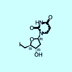 O=c1ccn([C@H]2C[C@H](O)[C@@H](CI)O2)c(=O)[nH]1